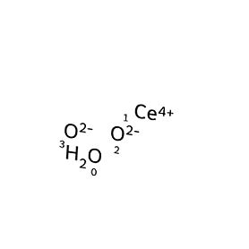 O.[Ce+4].[O-2].[O-2]